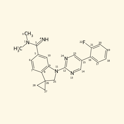 CN(C)C(=N)c1ccc2c(c1)N(c1ncc(-c3ccccc3F)cn1)CC21CC1